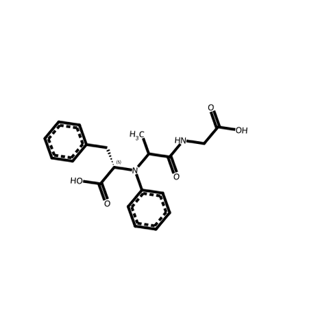 CC(C(=O)NCC(=O)O)N(c1ccccc1)[C@@H](Cc1ccccc1)C(=O)O